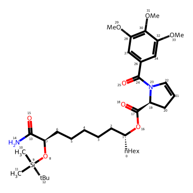 CCCCCC[C@H](CCCCC[C@@H](O[Si](C)(C)C(C)(C)C)C(N)=O)OC(=O)[C@@H]1CC=CN1C(=O)c1cc(OC)c(OC)c(OC)c1